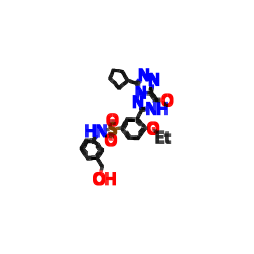 CCOc1ccc(S(=O)(=O)Nc2cccc(CO)c2)cc1-c1nn2c(C3CCCC3)nnc2c(=O)[nH]1